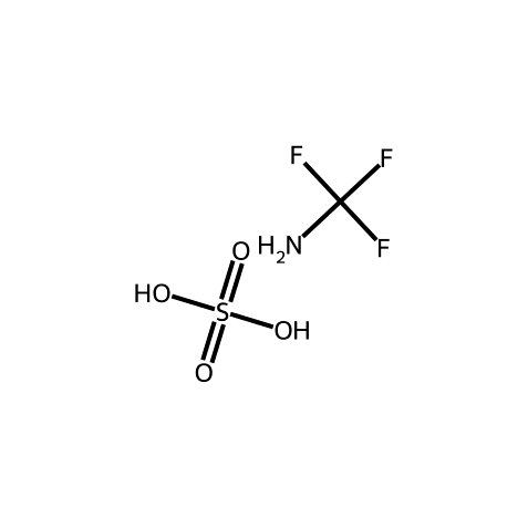 NC(F)(F)F.O=S(=O)(O)O